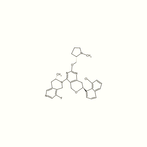 C[C@H]1Cc2cncc(F)c2CN1c1nc(OC[C@@H]2CCCN2C)nc2c1CO[C@H](c1cccc3cccc(Cl)c13)C2